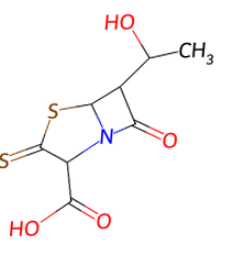 CC(O)C1C(=O)N2C(C(=O)O)C(=S)SC12